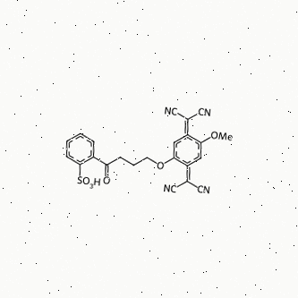 COc1cc(=C(C#N)C#N)c(OCCCC(=O)c2ccccc2S(=O)(=O)O)cc1=C(C#N)C#N